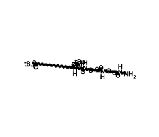 CC(C)(C)OC(=O)CCCCCCCCCCCCCCCCCCC(=O)NC(CCC(=O)NCCOCCOCC(=O)NCCOCCOCC(=O)NCCN)C(=O)OC(C)(C)C